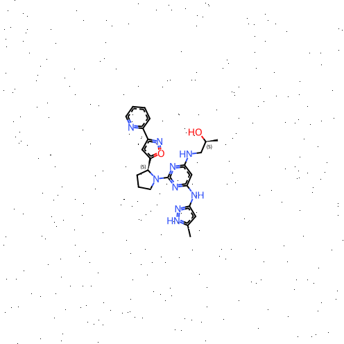 Cc1cc(Nc2cc(NC[C@H](C)O)nc(N3CCC[C@H]3c3cc(-c4ccccn4)no3)n2)n[nH]1